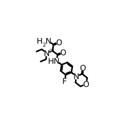 CCN(CC)[C@@H](C(N)=O)C(=O)Nc1ccc(N2CCOCC2=O)c(F)c1